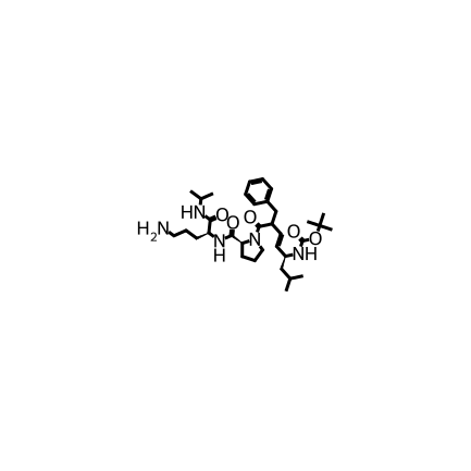 CC(C)C[C@@H](/C=C/C(Cc1ccccc1)C(=O)N1CCC[C@H]1C(=O)N[C@@H](CCCN)C(=O)NC(C)C)NC(=O)OC(C)(C)C